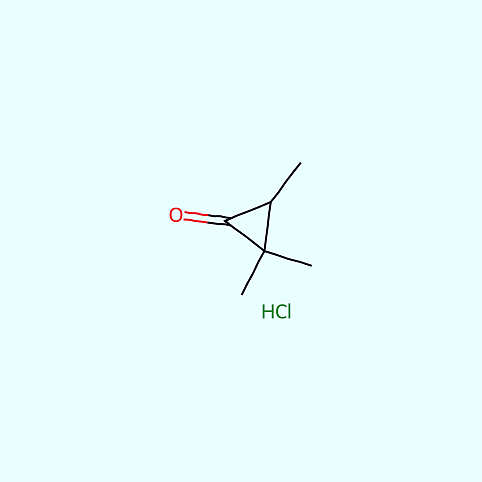 CC1C(=O)C1(C)C.Cl